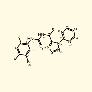 Cc1cc(C)c(NC(=O)NC(C)c2ncnn2-c2ncccn2)cc1Br